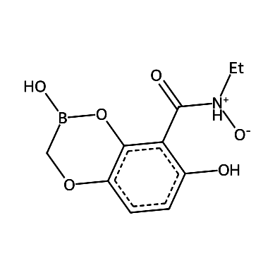 CC[NH+]([O-])C(=O)c1c(O)ccc2c1OB(O)CO2